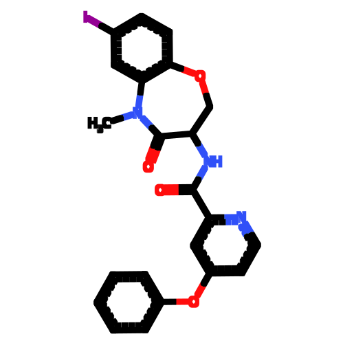 CN1C(=O)C(NC(=O)c2cc(Oc3ccccc3)ccn2)COc2ccc(I)cc21